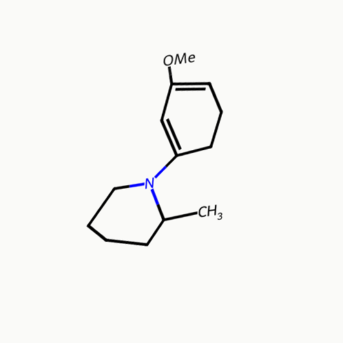 COC1=CCCC(N2CCCCC2C)=C1